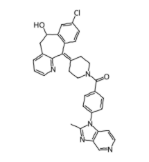 Cc1nc2cnccc2n1-c1ccc(C(=O)N2CCC(=C3c4ccc(Cl)cc4C(O)Cc4cccnc43)CC2)cc1